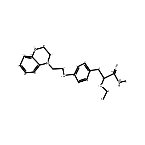 CCOC(Cc1ccc(OCCN2CCSc3ccccc32)cc1)C(=O)NC